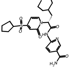 NC(=O)c1ccc(NC(=O)[C@@H](CC2CCOCC2)n2ccc(S(=O)(=O)C3CCCC3)cc2=O)nc1